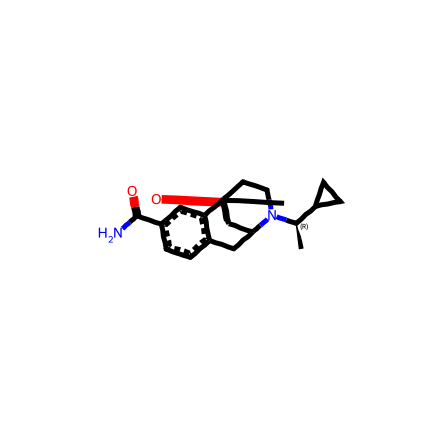 C[C@H](C1CC1)N1CCC23CC(=O)CCC2C1Cc1ccc(C(N)=O)cc13